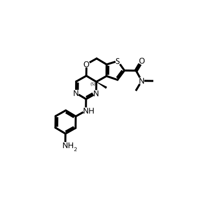 CN(C)C(=O)c1cc2c(s1)COC1C=NC(Nc3cccc(N)c3)=N[C@@]21C